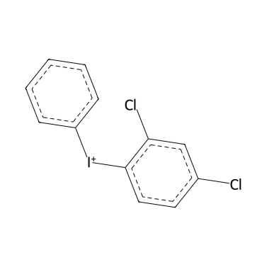 Clc1ccc([I+]c2ccccc2)c(Cl)c1